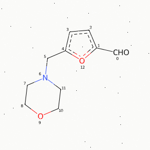 O=Cc1ccc(CN2CCOCC2)o1